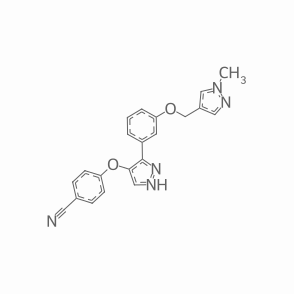 Cn1cc(COc2cccc(-c3n[nH]cc3Oc3ccc(C#N)cc3)c2)cn1